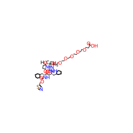 CC(C)[C@](NC(=O)CCOCCOCCOCCOCCOCCC(=O)O)(C(=O)N[C@@H](Cc1ccccc1)C[C@H](O)[C@H](Cc1ccccc1)NC(=O)OCc1cncs1)N1C(=O)CCC1=O